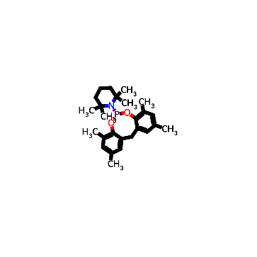 Cc1cc(C)c2c(c1)Cc1cc(C)cc(C)c1OP(N1C(C)(C)CCCC1(C)C)O2